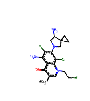 Nc1c(F)c(N2CC(N)C3(CC3)C2)c(Cl)c2c1c(=O)c(C(=O)O)cn2CCF